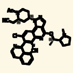 CC(=O)N1CC[C@H](n2ncc3c(O[C@@H](C)C4CCCN4C)nc4c(F)c(-c5nccc6cccc(C#N)c56)c(Cl)cc4c32)C[C@H]1CC#N